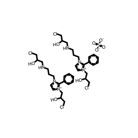 O=S(=O)([O-])[O-].OC(CCl)CNCCCn1cc[n+](CC(O)CCl)c1-c1ccccc1.OC(CCl)CNCCCn1cc[n+](CC(O)CCl)c1-c1ccccc1